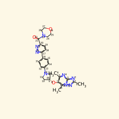 Cc1nc2nc(C)c(O[C@@H]3CCN(c4ccc(-c5ccc(C(=O)N6CCOCC6)nn5)cc4)C3)c(C)n2n1